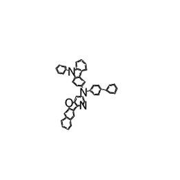 c1ccc(-c2ccc(N(c3cnc4c(c3)oc3cc5ccccc5cc34)c3ccc4c(c3)c3ccccc3n4-c3ccccc3)cc2)cc1